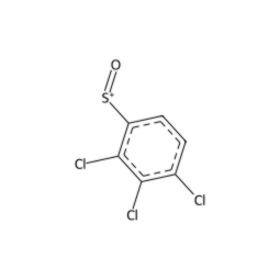 O=[S+]c1ccc(Cl)c(Cl)c1Cl